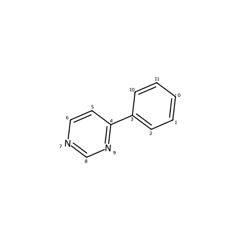 [c]1ccc(-c2ccncn2)cc1